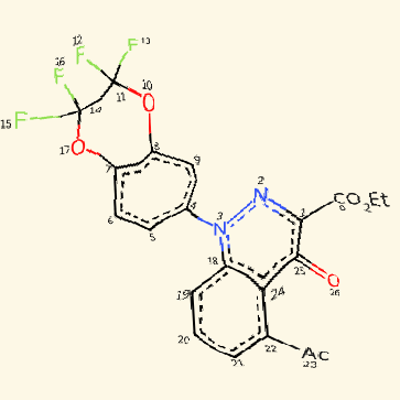 CCOC(=O)c1nn(-c2ccc3c(c2)OC(F)(F)C(F)(F)O3)c2cccc(C(C)=O)c2c1=O